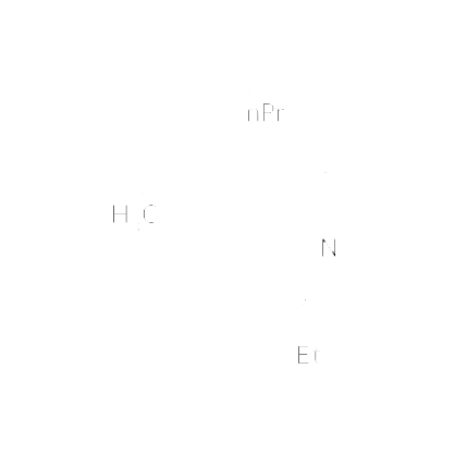 CCCc1cnc(CC)cc1C